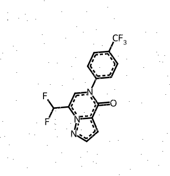 O=c1c2ccnn2c(C(F)F)cn1-c1ccc(C(F)(F)F)cc1